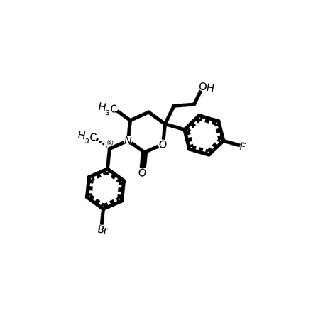 CC1CC(CCO)(c2ccc(F)cc2)OC(=O)N1[C@@H](C)c1ccc(Br)cc1